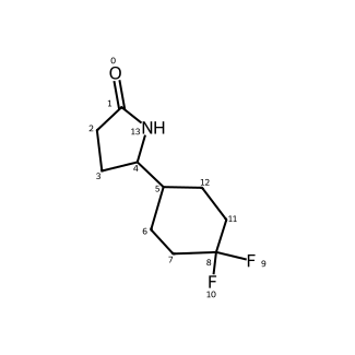 O=C1CCC(C2CCC(F)(F)CC2)N1